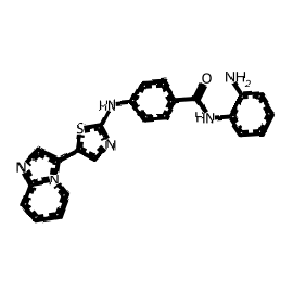 Nc1ccccc1NC(=O)c1ccc(Nc2ncc(-c3cnc4ccccn34)s2)cc1